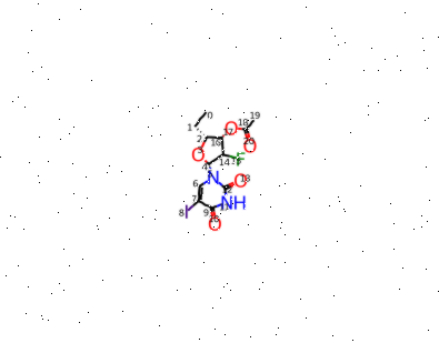 CC[C@H]1O[C@@H](n2cc(I)c(=O)[nH]c2=O)C(F)[C@H]1OC(C)=O